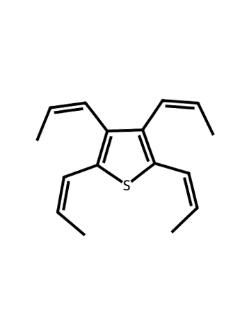 C/C=C\c1sc(/C=C\C)c(/C=C\C)c1/C=C\C